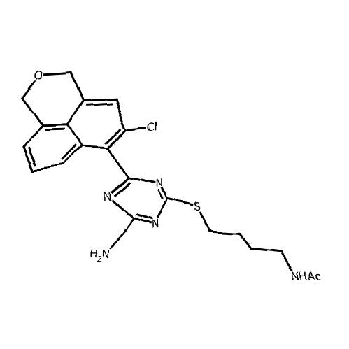 CC(=O)NCCCCSc1nc(N)nc(-c2c(Cl)cc3c4c(cccc24)COC3)n1